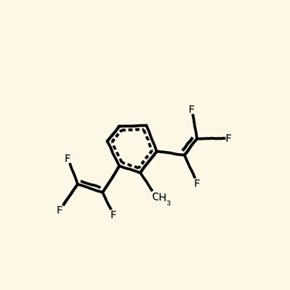 Cc1c(C(F)=C(F)F)cccc1C(F)=C(F)F